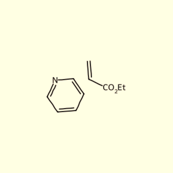 C=CC(=O)OCC.c1ccncc1